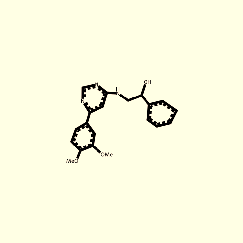 COc1ccc(-c2cc(NCC(O)c3ccccc3)ncn2)cc1OC